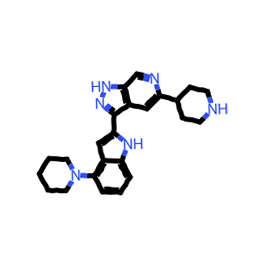 c1cc(N2CCCCC2)c2cc(-c3n[nH]c4cnc(C5CCNCC5)cc34)[nH]c2c1